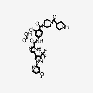 COc1ccnc(-n2cc(-c3cnc(C(=O)Nc4ccc(C(=O)N5CCN(C(=O)C6CCNCC6)CC5)c(Cl)c4)n3C)c(C(F)(F)F)n2)c1.O=CO